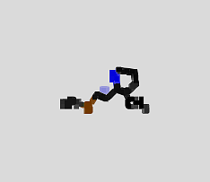 CCCS/C=C/c1ncccc1C